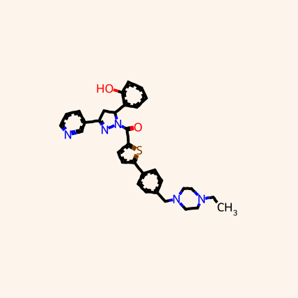 CCN1CCN(Cc2ccc(-c3ccc(C(=O)N4N=C(c5cccnc5)CC4c4ccccc4O)s3)cc2)CC1